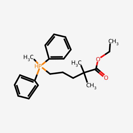 CCOC(=O)C(C)(C)CCC[PH](C)(c1ccccc1)c1ccccc1